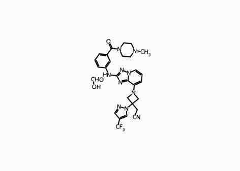 CN1CCN(C(=O)c2cccc(Nc3nc4c(N5CC(CC#N)(n6cc(C(F)(F)F)cn6)C5)cccn4n3)c2)CC1.O=CO